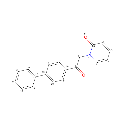 O=C(Cn1ccccc1=O)c1ccc(-c2ccccc2)cc1